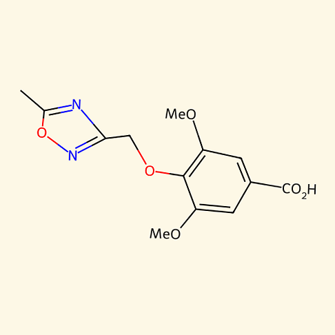 COc1cc(C(=O)O)cc(OC)c1OCc1noc(C)n1